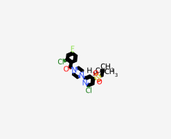 CC(C)(C)CS(=O)(=O)c1cc(Cl)nc(N2CCN(C(=O)c3ccc(F)cc3Cl)CC2)c1